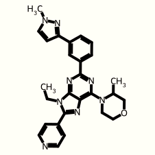 CCn1c(-c2ccncc2)nc2c(N3CCOCC3C)nc(-c3cccc(-c4ccn(C)n4)c3)nc21